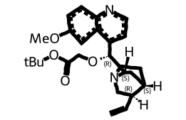 C=C[C@H]1CN2CC[C@H]1C[C@H]2[C@H](OCC(=O)OC(C)(C)C)c1ccnc2ccc(OC)cc12